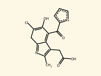 CC1=C(CC(=O)O)C2=C(C(=O)c3cccs3)C(O)=C(Cl)CC2=N1